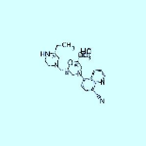 CC[C@H]1CN(C[C@H]2CN(c3ccc(C#N)c4ncccc34)C[C@@H](C)O2)CCN1.Cl.Cl